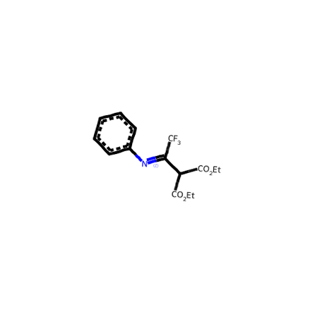 CCOC(=O)C(C(=O)OCC)/C(=N/c1ccccc1)C(F)(F)F